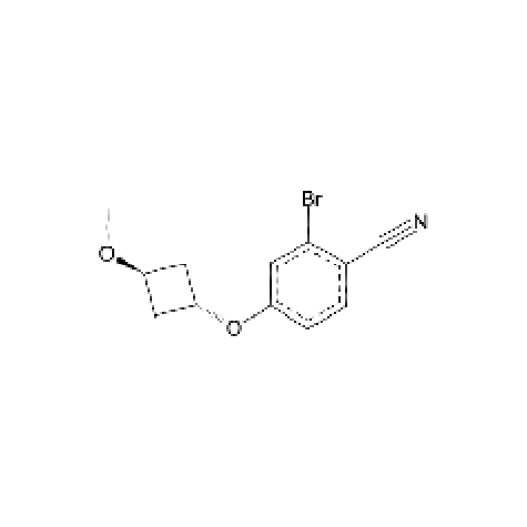 CO[C@H]1C[C@H](Oc2ccc(C#N)c(Br)c2)C1